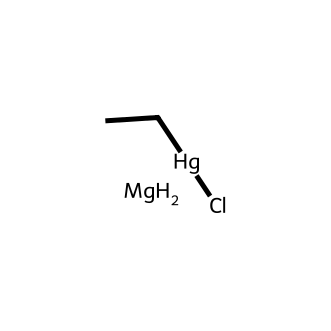 C[CH2][Hg][Cl].[MgH2]